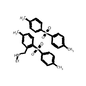 CCNCc1cc(C)ccc1S(=O)(=O)c1ccc(C)cc1.Cc1ccc(S(=O)(=O)c2ccc(C)cc2)cc1